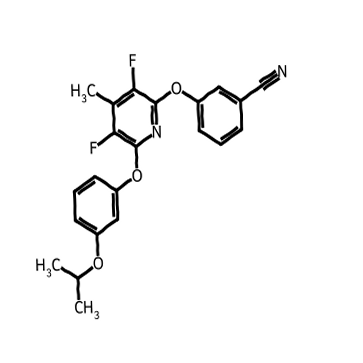 Cc1c(F)c(Oc2cccc(C#N)c2)nc(Oc2cccc(OC(C)C)c2)c1F